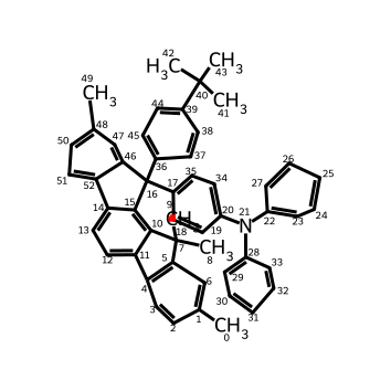 Cc1ccc2c(c1)C(C)(C)c1c-2ccc2c1C(c1ccc(N(c3ccccc3)c3ccccc3)cc1)(c1ccc(C(C)(C)C)cc1)c1cc(C)ccc1-2